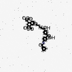 O=C1CC(C2CC3C(=O)OC(=O)C3c3cc(OCCCCCC(O)c4ccc(C(OO)c5ccc(/C=C/C(=O)c6ccccc6)cc5)cc4)ccc32)C(=O)O1